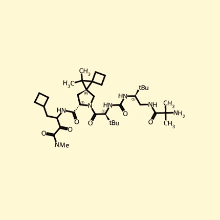 CNC(=O)C(=O)C(CC1CCC1)NC(=O)[C@@H]1C[C@@]2(CN1C(=O)[C@@H](NC(=O)N[C@H](CNC(=O)C(C)(C)N)C(C)(C)C)C(C)(C)C)C(C)(C)C21CCC1